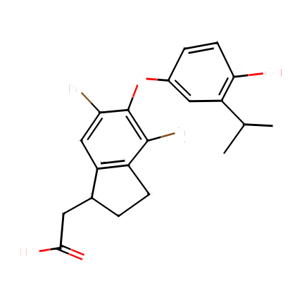 CC(C)c1cc(Oc2c(Br)cc3c(c2Br)CCC3CC(=O)O)ccc1O